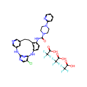 O=C(Nc1ccc2cc1CCc1cncc(c1)Nc1ncc(Cl)c(n1)N2)N1CCN(c2ccccn2)CC1.O=C(O)C(F)(F)F.O=C(O)C(F)(F)F.O=C(O)C(F)(F)F